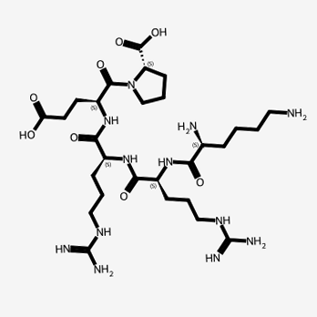 N=C(N)NCCC[C@H](NC(=O)[C@H](CCCNC(=N)N)NC(=O)[C@@H](N)CCCCN)C(=O)N[C@@H](CCC(=O)O)C(=O)N1CCC[C@H]1C(=O)O